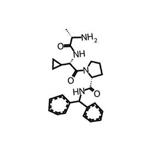 C[C@H](N)C(=O)N[C@H](C(=O)N1CCC[C@@H]1C(=O)NC(c1ccccc1)c1ccccc1)C1CC1